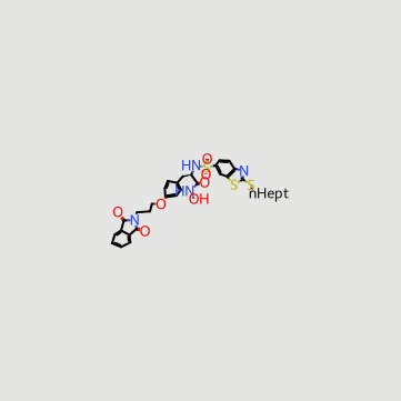 CCCCCCCSc1nc2ccc(S(=O)(=O)N[C@H](Cc3ccc(OCCCN4C(=O)c5ccccc5C4=O)cc3)C(=O)NO)cc2s1